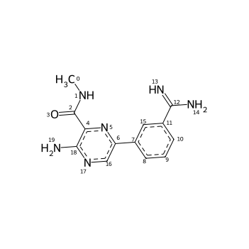 CNC(=O)c1nc(-c2cccc(C(=N)N)c2)cnc1N